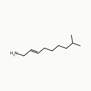 CC(C)CCCCC=CCN